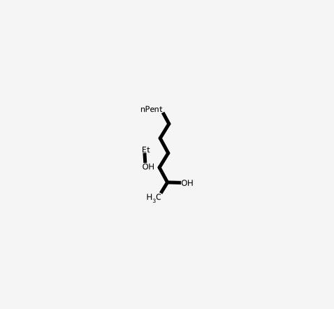 CCCCCCCCCC(C)O.CCO